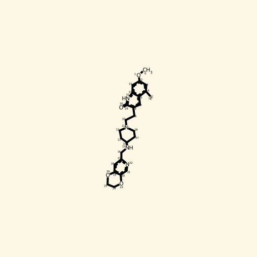 COc1cc(F)c2cc(CCN3CCC(NCc4cc5c(cn4)OCCO5)CC3)c(=O)[nH]c2c1